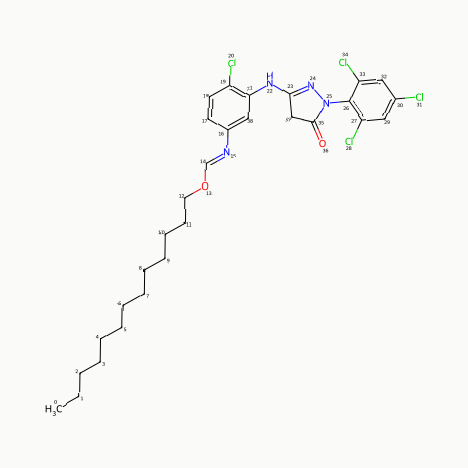 CCCCCCCCCCCCCO/C=N/c1ccc(Cl)c(NC2=NN(c3c(Cl)cc(Cl)cc3Cl)C(=O)C2)c1